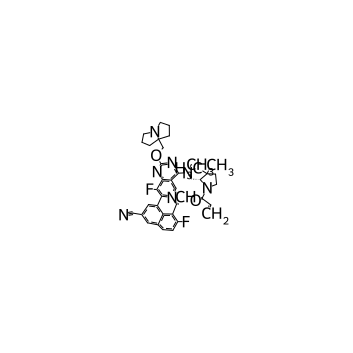 C#Cc1c(F)ccc2cc(C#N)cc(-c3ncc4c(N(C)C[C@H]5N(C(=O)C=C)CCC5(C)C)nc(OCC56CCCN5CCC6)nc4c3F)c12